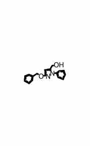 OCc1cc(OCc2ccccc2)nn1-c1ccccc1